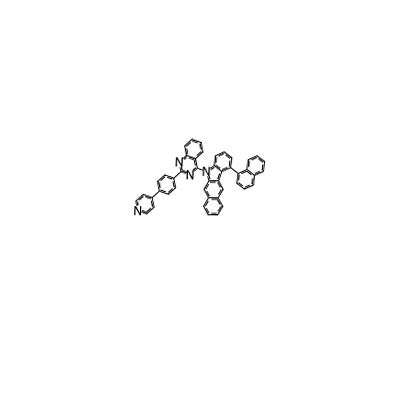 c1ccc2cc3c(cc2c1)c1c(-c2cccc4ccccc24)cccc1n3-c1nc(-c2ccc(-c3ccncc3)cc2)nc2ccccc12